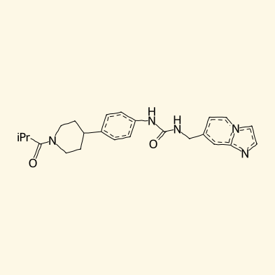 CC(C)C(=O)N1CCC(c2ccc(NC(=O)NCc3ccn4ccnc4c3)cc2)CC1